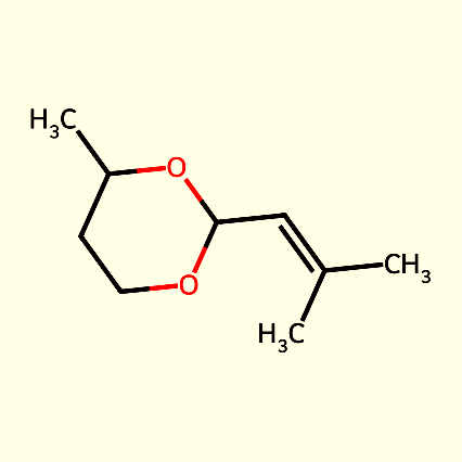 CC(C)=CC1OCCC(C)O1